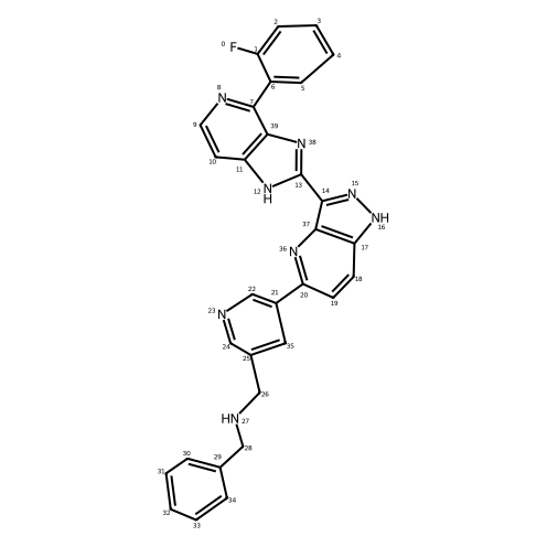 Fc1ccccc1-c1nccc2[nH]c(-c3n[nH]c4ccc(-c5cncc(CNCc6ccccc6)c5)nc34)nc12